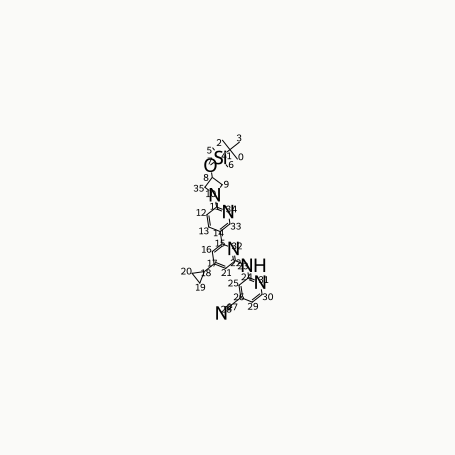 CC(C)(C)[Si](C)(C)OC1CN(c2ccc(-c3cc(C4CC4)cc(Nc4cc(C#N)ccn4)n3)cn2)C1